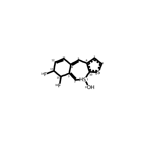 O[SH]1C=C2C(=Cc3ccsc31)C=CC(F)C2F